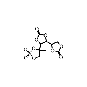 CC1(C2OC(=O)OC2C2COC(=O)O2)COS(=O)(=O)O1